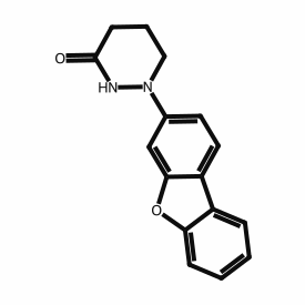 O=C1CCCN(c2ccc3c(c2)oc2ccccc23)N1